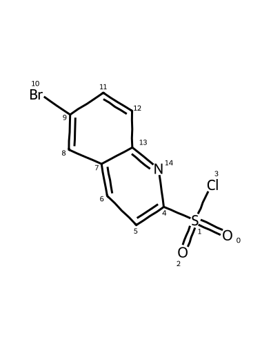 O=S(=O)(Cl)c1ccc2cc(Br)ccc2n1